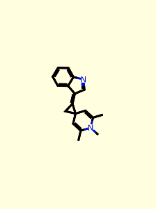 CC1=CC2(C=C(C)N1C)CC2=C1C=Nc2ccccc21